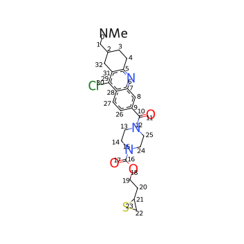 CNCC1CCc2nc3cc(C(=O)N4CCN(C(=O)OCCC5CS5)CC4)ccc3c(Cl)c2C1